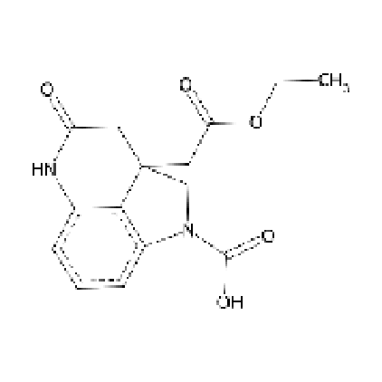 CCOC(=O)CC12CC(=O)Nc3cccc(c31)N(C(=O)O)C2